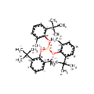 Cc1cccc(C(C)(C)C)c1OP(Oc1c(C)cccc1C(C)(C)C)Oc1c(C)cccc1C(C)(C)C